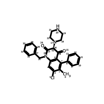 Cc1c(Cl)cc2c(c1-c1ccccc1)C(=O)[C@H](N1CCNCC1)C(=O)N2Cc1ccccc1